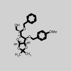 COc1ccc(CO[C@H]2[C@H]3OC(C)(C)O[C@H]3O[C@@H]2[C@@H](CO)OCc2ccccc2)cc1